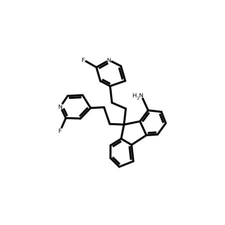 Nc1cccc2c1C(CCc1ccnc(F)c1)(CCc1ccnc(F)c1)c1ccccc1-2